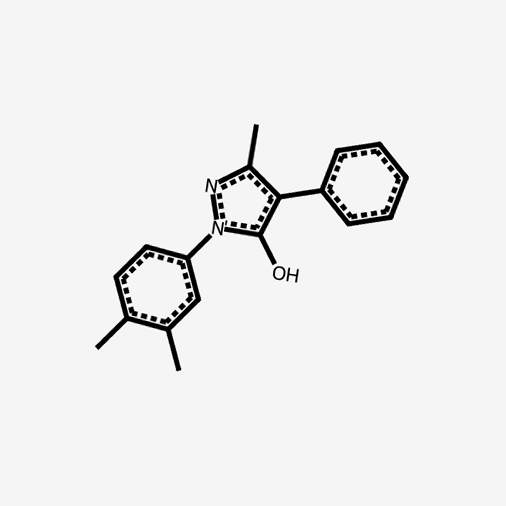 Cc1ccc(-n2nc(C)c(-c3ccccc3)c2O)cc1C